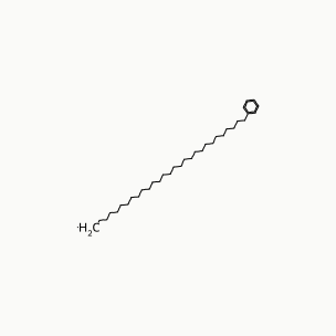 [CH2]CCCCCCCCCCCCCCCCCCCCCCCCCCCCc1ccccc1